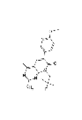 COc1ccc(-c2cc3c(C)nc(N)nc3n(CC(C)(C)F)c2=O)cn1